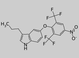 CCCc1c[nH]c2ccc(Oc3c(C(F)(F)F)cc([N+](=O)[O-])cc3C(F)(F)F)cc12